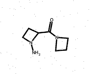 NN1CCC1C(=O)N1CCC1